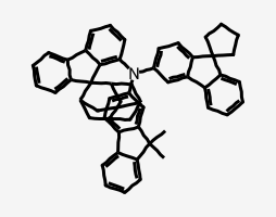 CC1(C)c2ccccc2-c2ccc(N(c3ccc4c(c3)-c3ccccc3C43CCCC3)c3cccc4c3C3(c5ccccc5-4)C4CC5CC(C4)CC3C5)cc21